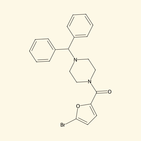 O=C(c1ccc(Br)o1)N1CCN(C(c2ccccc2)c2ccccc2)CC1